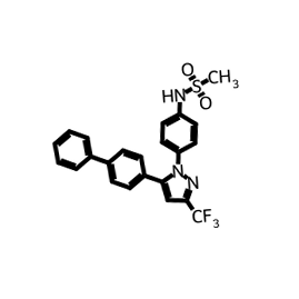 CS(=O)(=O)Nc1ccc(-n2nc(C(F)(F)F)cc2-c2ccc(-c3ccccc3)cc2)cc1